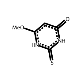 COc1cc(=O)[nH]c(=S)[nH]1